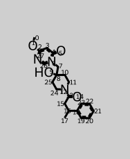 COc1cc(=O)n(CC2(O)CCN(C(=O)CC(C)c3ccccc3)CC2)cn1